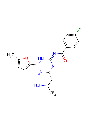 Cc1ccc(CN/C(=N/C(=O)c2ccc(F)cc2)NC(N)CC(N)C(F)(F)F)o1